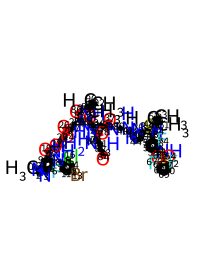 Cn1cnc2c(F)c(Nc3ccc(Br)cc3Cl)c(C(=O)NOCCOC(=O)CC[C@H](NC(=O)[C@H](CCC(=O)NCCNc3nccc(-c4sc(C(C)(C)C)nc4-c4cccc(NS(=O)(=O)c5c(F)cccc5F)c4F)n3)NC(=O)[C@@H](N)CCC=O)C(=O)NCC(C)(C)C)cc21